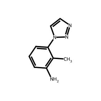 Cc1c(N)cccc1-n1ccnn1